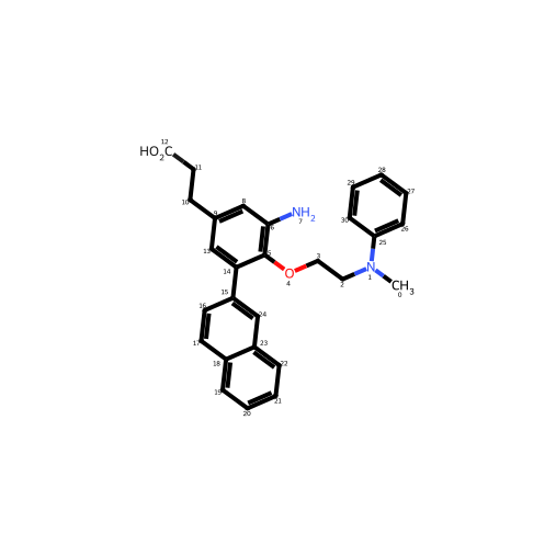 CN(CCOc1c(N)cc(CCC(=O)O)cc1-c1ccc2ccccc2c1)c1ccccc1